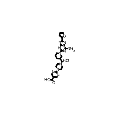 Cl.Nc1nc(N2CCCC(CN3CCN(c4ncc(C(=O)O)cn4)CC3)C2)nc2nc(-c3ccco3)nn12